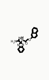 N=C(N)C1(NC(=O)COc2ccc3ccccc3c2)N=c2ccccc2=N1